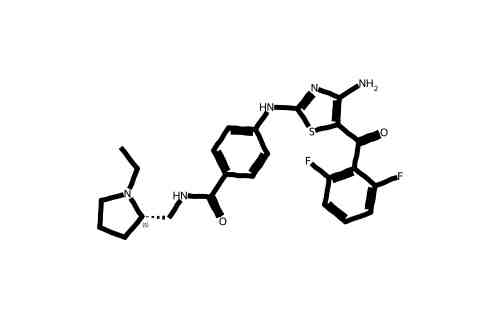 CCN1CCC[C@H]1CNC(=O)c1ccc(Nc2nc(N)c(C(=O)c3c(F)cccc3F)s2)cc1